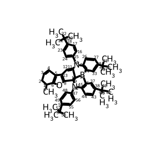 CC1CC=Cc2c1oc1c3c4c(cc21)N(c1ccc(C(C)(C)C)cc1)c1ccc(C(C)(C)C)cc1B4c1cc(C(C)(C)C)ccc1N3c1ccc(C(C)(C)C)cc1